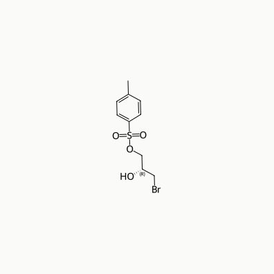 Cc1ccc(S(=O)(=O)OC[C@@H](O)CBr)cc1